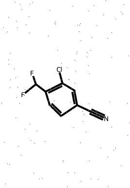 N#Cc1ccc(C(F)F)c(Cl)c1